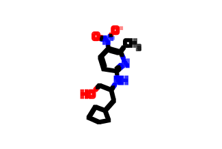 Cc1nc(NC(CO)CC2CCCC2)ccc1[N+](=O)[O-]